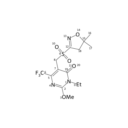 CCn1c(OC)nc(C(F)(F)F)c(CS(=O)(=O)C2=NOC(C)(C)C2)c1=O